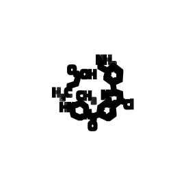 CCCC(=O)O.C[C@H]1CN(C(=O)c2ccc3c(Cl)cc(-c4cccc(CN)c4)nc3c2)CCN1